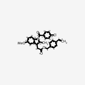 C=Cc1ccc(COC(=O)Cc2c(C)n(C(=O)c3ccc(Cl)cc3)c3ccc(OC)cc23)cc1